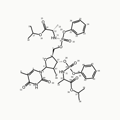 Cc1cn(C2O[C@@H](CO[P@@](=O)(N[C@@H](C)C(=O)OC(C)C)Oc3ccccc3)[C@H](OP(=O)(NC(C)C(=O)OC(C)C)Oc3ccccc3)C2F)c(=O)[nH]c1=O